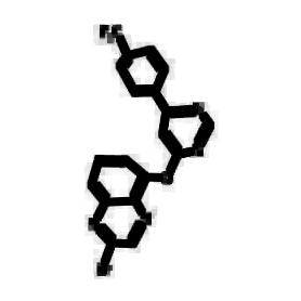 FC(F)(F)c1ccc(-c2cc(Oc3cccc4nc(Br)cnc34)ncn2)cc1